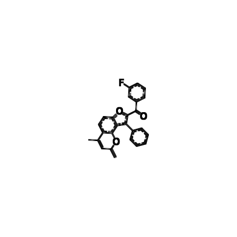 C=C1C=C(C)c2ccc3oc(C(=O)c4cccc(F)c4)c(-c4ccccc4)c3c2O1